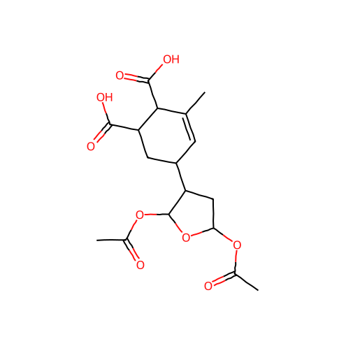 CC(=O)OC1CC(C2C=C(C)C(C(=O)O)C(C(=O)O)C2)C(OC(C)=O)O1